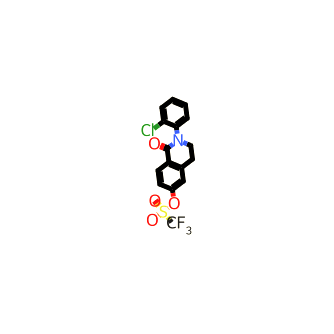 O=C1c2ccc(OS(=O)(=O)C(F)(F)F)cc2CCN1c1ccccc1Cl